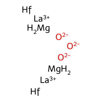 [Hf].[Hf].[La+3].[La+3].[MgH2].[MgH2].[O-2].[O-2].[O-2]